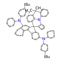 CC(C)(C)c1ccc(N(c2ccccc2)c2ccc3c(c2)C2(c4ccccc4N4c5ccccc5C(C)(C)c5cccc2c54)c2cc(N(c4ccccc4)c4ccc(C(C)(C)C)cc4)c4ccccc4c2-3)cc1